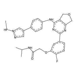 CC(C)NC(=O)COc1cc(-c2nc3c(c(Nc4ccc(-c5cnn(PI)c5)cc4)n2)COC3)ccc1F